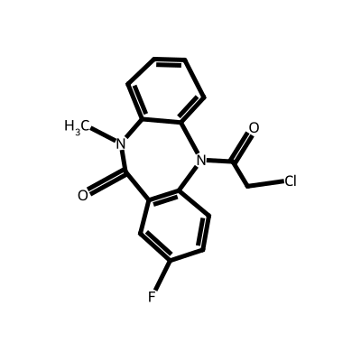 CN1C(=O)c2cc(F)ccc2N(C(=O)CCl)c2ccccc21